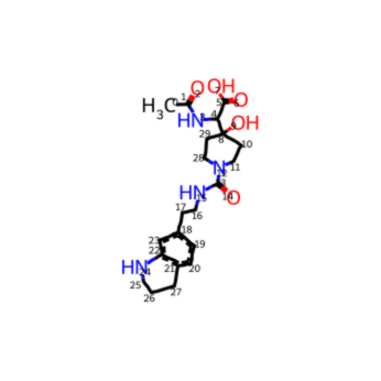 CC(=O)NC(C(=O)O)C1(O)CCN(C(=O)NCCc2ccc3c(c2)NCCC3)CC1